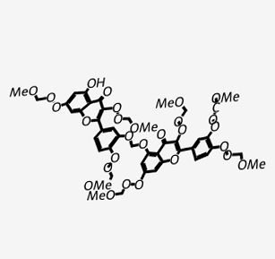 COCOOc1cc(O)c2c(=O)c(OOCOC)c(-c3ccc(OOCOC)c(OCOc4cc(OOCOC)cc5oc(-c6ccc(OOCOC)c(OOCOC)c6)c(OOCOC)c(=O)c45)c3)oc2c1